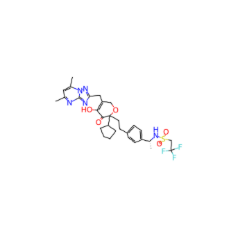 Cc1cc(C)n2nc(CC3=C(O)C(=O)C(CCc4ccc([C@@H](C)NS(=O)(=O)CC(F)(F)F)cc4)(C4CCCC4)OC3)nc2n1